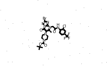 Cc1c(N2CCN(C(=O)OC(C)(C)C)CC2)c(=O)n2nc(Br)nc2n1CC(=O)Nc1ccc(C(F)(F)F)cc1Cl